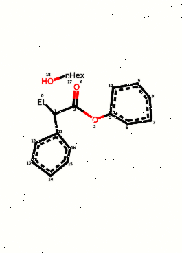 CCC(C(=O)Oc1ccccc1)c1ccccc1.CCCCCCO